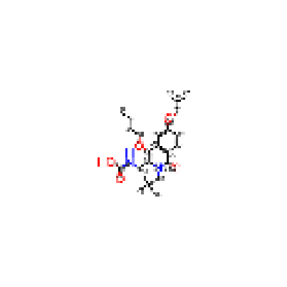 CCCCOc1c(CNC(=O)O)n(CC(C)(C)C)c(=O)c2ccc(OCC(C)C)cc12